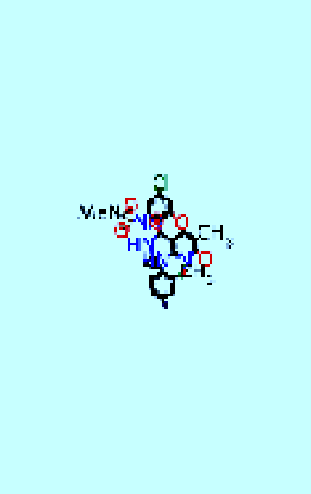 CNS(=O)(=O)Nc1cc(Cl)cc(Oc2c(C(=O)NC3CC3)c(Nc3ccc(I)cc3F)n(C)c(=O)c2C)c1